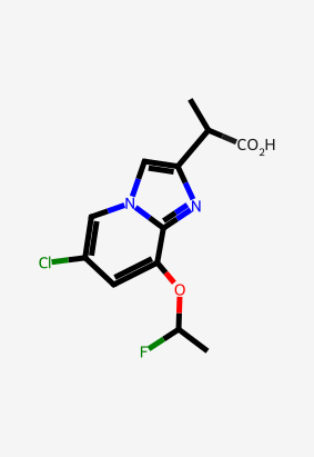 CC(F)Oc1cc(Cl)cn2cc(C(C)C(=O)O)nc12